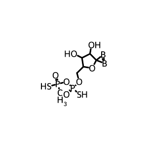 CP(=O)(S)OP(=O)(S)OCC1OC2(B=B2)C(O)C1O